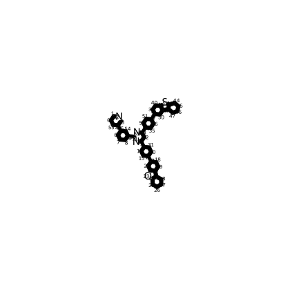 c1cncc(-c2cccc(-c3nc(-c4ccc(-c5ccc6c(c5)oc5ccccc56)cc4)cc(-c4ccc(-c5ccc6sc7ccccc7c6c5)cc4)n3)c2)c1